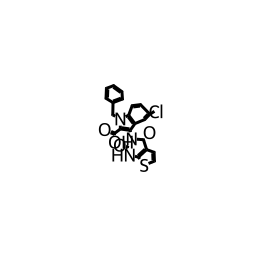 O=C(O)c1c(-n2c(=O)[nH]c3sccc3c2=O)c2cc(Cl)ccc2n1Cc1ccccc1